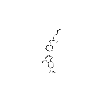 C=CCCC(=O)Oc1ccc(-c2cc(=O)c3cc(OC)ccc3o2)cc1